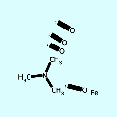 CN(C)C.[C]=O.[C]=O.[C]=O.[C]=O.[Fe]